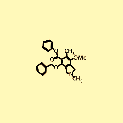 COc1c(C)c(C(=O)Oc2ccccc2)c(OCc2ccccc2)c2c1CN(C)C2